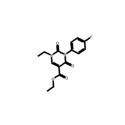 CCOC(=O)c1cn(CC)c(=O)n(-c2ccc(F)cc2)c1=O